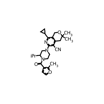 Cc1occc1C(=O)N1CCN(c2nc(C3CC3)c3c(c2C#N)CC(C)(C)OC3)CC1C(C)C